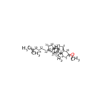 CO[C@H]1CC[C@@]2(C)C(=CC[C@@H]3C2CCC2[C@H](CCCCC(C)C)CC[C@@H]23)C1